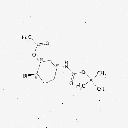 CC(=O)O[C@@H]1C[C@H](NC(=O)OC(C)(C)C)CC[C@H]1Br